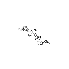 Cc1nn(COCC[Si](C)(C)C)c(C)c1-c1ccc(NC(=O)[C@@H](N)[C@@H]2CCCc3ccc(-c4cnn(C5CC5)c4)cc32)cc1